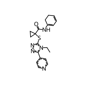 CCn1c(SC2(C(=O)NC3=CC=CCC3)CC2)nnc1-c1ccncc1